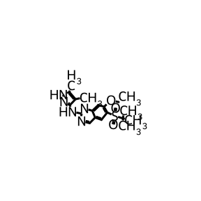 CCOc1cc2nc(Nc3n[nH]c(C)c3C)ncc2cc1S(=O)(=O)C(C)(C)C